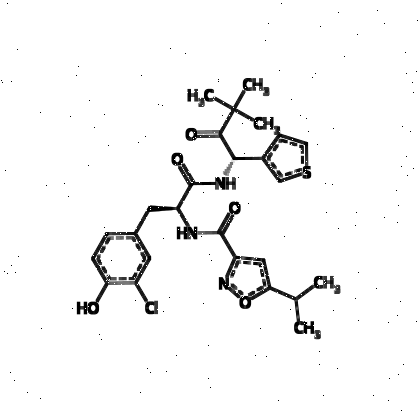 CC(C)c1cc(C(=O)N[C@@H](Cc2ccc(O)c(Cl)c2)C(=O)N[C@H](C(=O)C(C)(C)C)c2ccsc2)no1